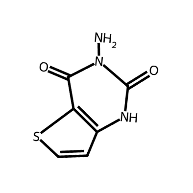 Nn1c(=O)[nH]c2ccsc2c1=O